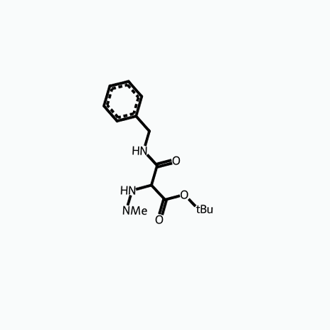 CNNC(C(=O)NCc1ccccc1)C(=O)OC(C)(C)C